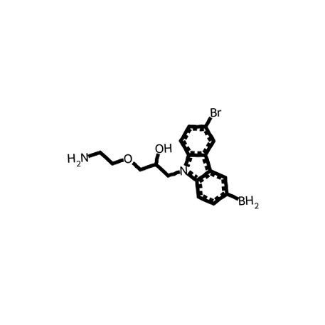 Bc1ccc2c(c1)c1cc(Br)ccc1n2CC(O)COCCN